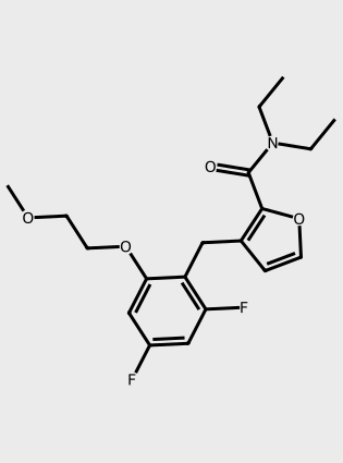 CCN(CC)C(=O)c1occc1Cc1c(F)cc(F)cc1OCCOC